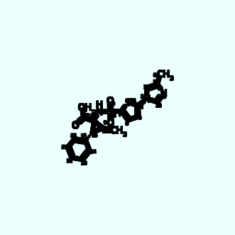 Cc1cn(-c2ccc(S(=O)(=O)N[C@@]3(C(=O)O)C(C)[C@@H]3c3ccccc3)s2)cn1